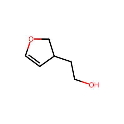 OCCC1[CH]OC=C1